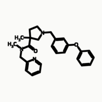 CN(Cc1ccccn1)C(=O)C1(C)CCN(Cc2cccc(Oc3ccccc3)c2)C1